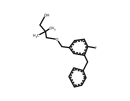 CC(C)(CO)COCc1ccc(F)c(Cc2ccccc2)c1